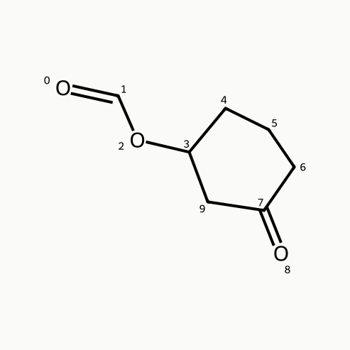 O=COC1CCCC(=O)C1